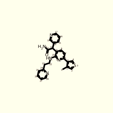 Cc1cscc1-c1ccc(C(C(N)=O)c2cccnc2)c(NCCc2ccccn2)n1